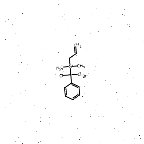 C=CC[N+](C)(C)C(Cl)(Cl)c1ccccc1.[Br-]